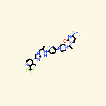 C=C(Cn1cnc([C@H]2C=CN=C(C(F)(F)F)C2C)c1)Nc1ccc(N2CCN(C(=C)n3ccc(N)nc3=O)CC2)cn1